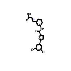 O=C(O)/C=C/c1cccc(NC(=O)c2ccc(-c3cc(Cl)cc(Cl)c3)o2)c1